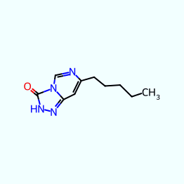 CCCCCc1cc2n[nH]c(=O)n2cn1